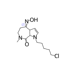 CN1CC/C(=N/O)C2C=CN(CCCCCCl)C2C1=O